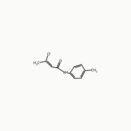 C/C(Cl)=C/C(=O)Nc1ccc(C)cc1